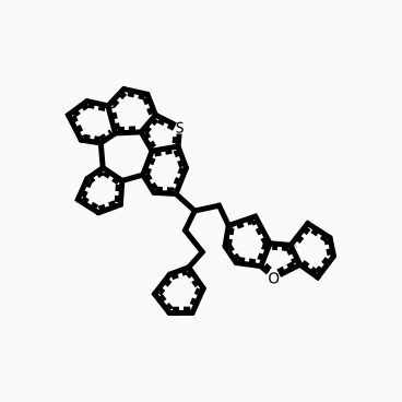 c1ccc(CCC(Cc2ccc3oc4ccccc4c3c2)c2cc3c4c(c2)sc2ccc5cccc(c5c24)-c2ccccc2-3)cc1